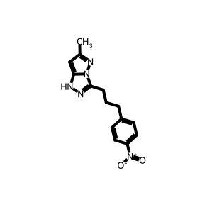 Cc1cc2[nH]nc(CCCc3ccc([N+](=O)[O-])cc3)n2n1